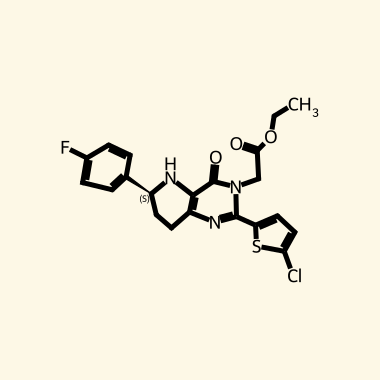 CCOC(=O)Cn1c(-c2ccc(Cl)s2)nc2c(c1=O)N[C@H](c1ccc(F)cc1)CC2